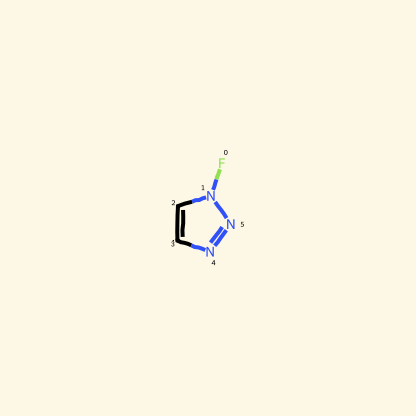 Fn1c[c]nn1